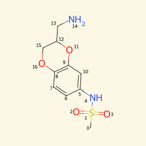 CS(=O)(=O)Nc1ccc2c(c1)OC(CN)CO2